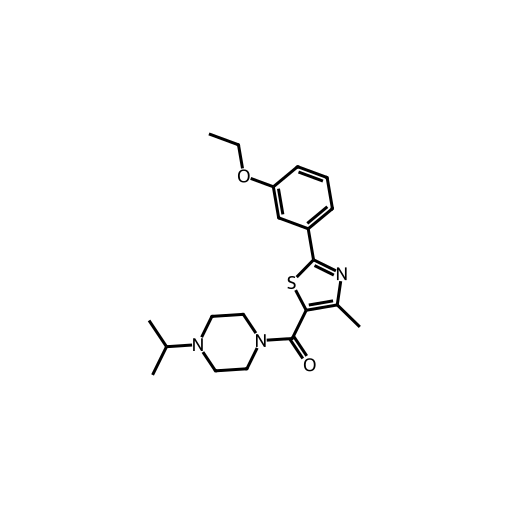 CCOc1cccc(-c2nc(C)c(C(=O)N3CCN(C(C)C)CC3)s2)c1